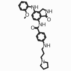 COc1ccccc1Nc1ccc(NC(=O)c2ccc(NCCCN3CCCC3)cc2)c2c1CNC2=O